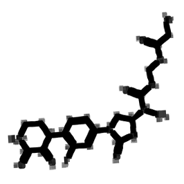 CC(C)CC(=O)OCOC(=O)N(C)[C@@H]1CN(c2ccc(C3CC[SH4]C(=O)C3=O)c(F)c2)C(=O)O1